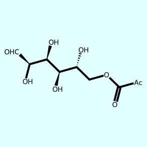 CC(=O)C(=O)OC[C@@H](O)[C@@H](O)[C@H](O)[C@@H](O)C=O